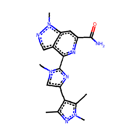 Cc1nn(C)c(C)c1-c1cn(C)c(-c2nc(C(N)=O)cc3c2cnn3C)n1